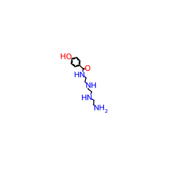 NCCNCCNCCNC(=O)c1ccc(O)cc1